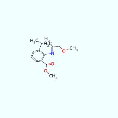 COC/C(C)=N/c1c(C(=O)OC)cccc1C(C)C